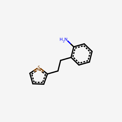 Nc1ccccc1CCc1cccs1